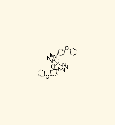 ClC(Cl)(c1nnnn1-c1ccc(Oc2ccccc2)cc1)c1nnnn1-c1ccc(Oc2ccccc2)cc1